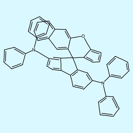 c1ccc(N(c2ccccc2)c2ccc3c(c2)C2(c4ccccc4Oc4cc5ccccc5cc42)c2cc(N(c4ccccc4)c4ccccc4)ccc2-3)cc1